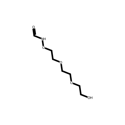 O=CNOCCOCCOCCO